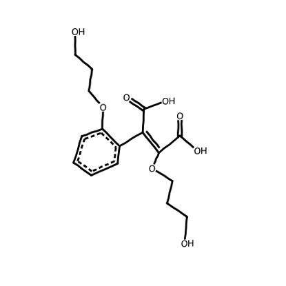 O=C(O)C(OCCCO)=C(C(=O)O)c1ccccc1OCCCO